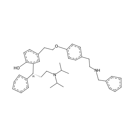 CC(C)N(CC[C@H](c1ccccc1)c1cc(CCOc2ccc(CCNCc3ccccc3)cc2)ccc1O)C(C)C